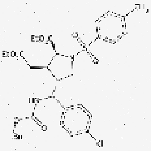 CCOC(=O)C[C@@H]1[C@@H](C(NC(=O)OC(C)(C)C)c2ccc(Cl)cc2)CN(S(=O)(=O)c2ccc(C)cc2)[C@@H]1C(=O)OCC